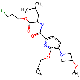 COC1CN(c2ccc(C(=O)NC(CC(C)C)C(=O)OCCCF)nc2OCC2CC2)C1